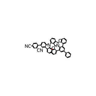 N#Cc1ccc(-c2ccc3c(c2)c2ccccc2n3-c2cccc3c2C(=O)N(c2c(-c4ccccc4)cc(-c4ccccc4)cc2-c2ccccc2)C3=O)c(C#N)c1